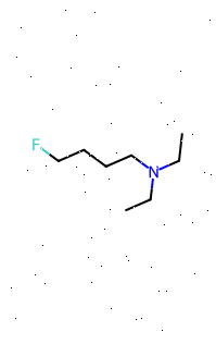 CCN(CC)CCCCF